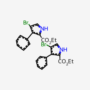 CCOC(=O)c1[nH]cc(Br)c1-c1ccccc1.CCOC(=O)c1[nH]cc(Br)c1-c1ccccc1